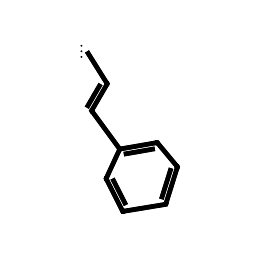 [C]C=Cc1ccccc1